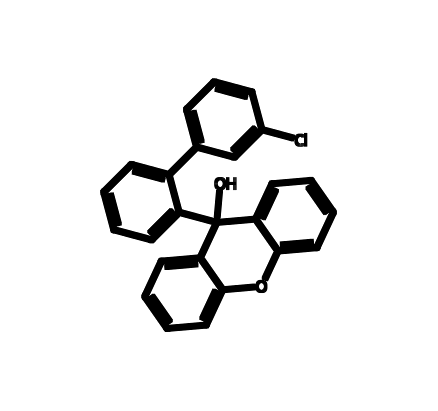 OC1(c2ccccc2-c2cccc(Cl)c2)c2ccccc2Oc2ccccc21